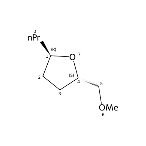 CCC[C@@H]1CC[C@@H](COC)O1